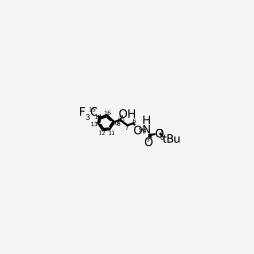 CC(C)(C)OC(=O)NOCC[C@H](O)c1cccc(C(F)(F)F)c1